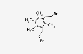 Cc1c(C)c(CCBr)c(C)c(CCBr)c1C